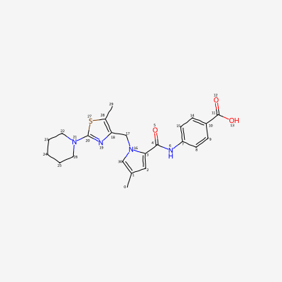 Cc1cc(C(=O)Nc2ccc(C(=O)O)cc2)n(Cc2nc(N3CCCCC3)sc2C)c1